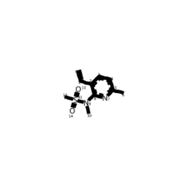 C=Cc1ccc(C)nc1N(C)S(C)(=O)=O